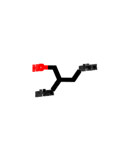 CCCCCCCC(CO)CCCCCC